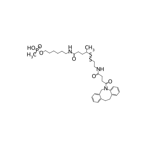 CC(CCC(=O)NCCCCCCOP(C)(=O)O)SSCCNC(=O)CCC(=O)N1Cc2ccccc2CCc2ccccc21